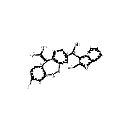 CCCc1nc2ccccn2c1C(O)c1ccc2c(c1)COc1cc(F)ccc1C2=C(C)C#N